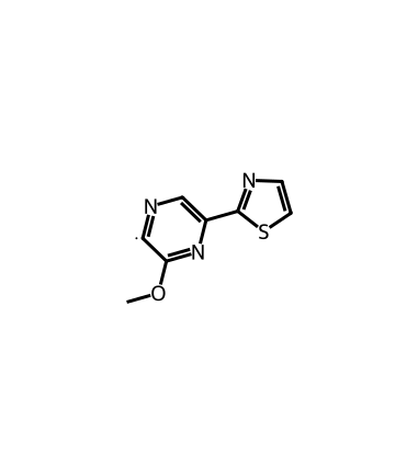 COc1[c]ncc(-c2nccs2)n1